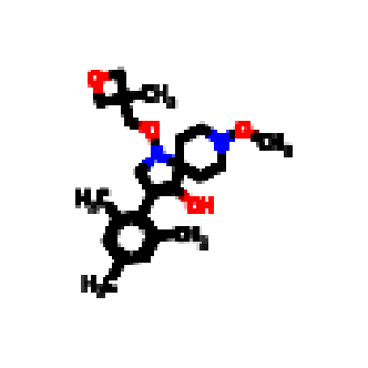 CON1CCC2(CC1)C(O)=C(c1c(C)cc(C)cc1C)CN2OCC1(C)COC1